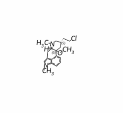 CO[C@]12C[C@@H](CCCl)CN(C)[C@@H]1Cc1cn(C)c3cccc2c13